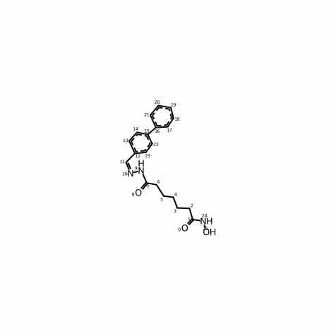 O=C(CCCCCC(=O)N/N=C\c1ccc(-c2ccccc2)cc1)NO